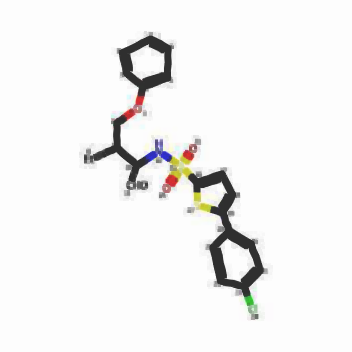 CCC(COc1ccccc1)C(C=O)NS(=O)(=O)c1ccc(-c2ccc(Cl)cc2)s1